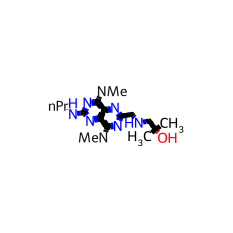 CCCNc1nc(NC)c2nc(CNCC(C)(C)O)nc(NC)c2n1